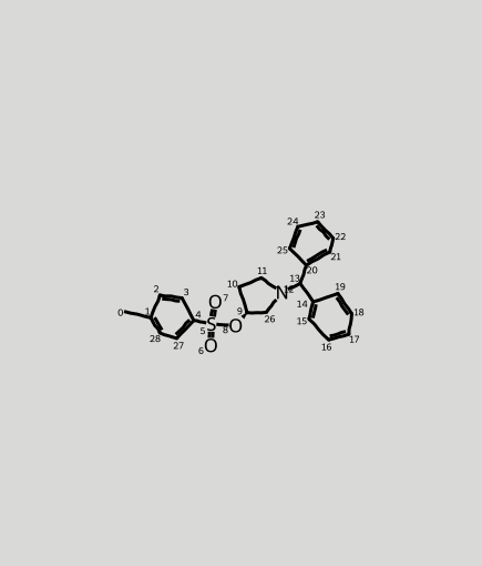 Cc1ccc(S(=O)(=O)O[C@H]2CCN(C(c3ccccc3)c3ccccc3)C2)cc1